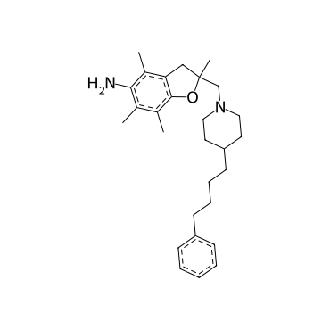 Cc1c(C)c2c(c(C)c1N)CC(C)(CN1CCC(CCCCc3ccccc3)CC1)O2